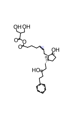 O=C(CCC/C=C\C[C@@H]1[C@@H](CC[C@@H](O)CCc2ccccc2)CC[C@@H]1O)OC(=O)C(CO)CO